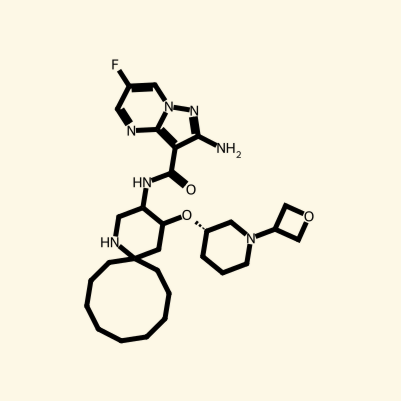 Nc1nn2cc(F)cnc2c1C(=O)NC1CNC2(CCCCCCCCC2)CC1O[C@H]1CCCN(C2COC2)C1